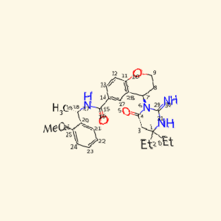 CCC1(CC)CC(=O)N([C@@H]2CCOc3ccc(C(=O)N[C@@H](C)c4ccccc4OC)cc32)C(=N)N1